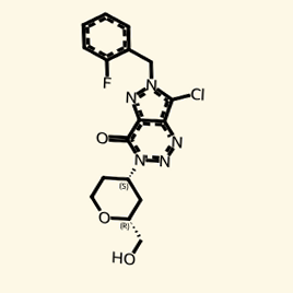 O=c1c2nn(Cc3ccccc3F)c(Cl)c2nnn1[C@H]1CCO[C@@H](CO)C1